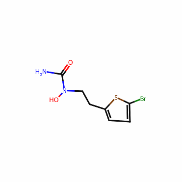 NC(=O)N(O)CCc1ccc(Br)s1